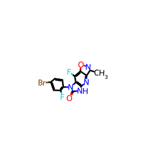 Cc1noc2c(F)c3c(nc12)[nH]c(=O)n3-c1ccc(Br)cc1F